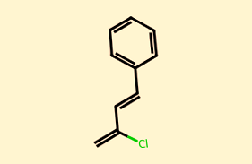 C=C(Cl)C=Cc1ccccc1